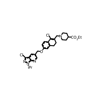 CCOC(=O)C1CCN(CC2=C(Cl)c3ccc(OCc4cnc5c(c4)c(Cl)nn5C(C)C)cc3CC2)CC1